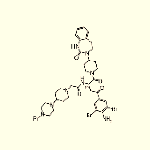 CC(C)N1CCN(C2CCN(CC(=O)N[C@H](CC(=O)c3cc(Br)c(N)c(Br)c3)C(=O)N3CCC(N4CCc5ccccc5NC4=O)CC3)CC2)CC1